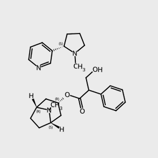 CN1CCC[C@H]1c1cccnc1.CN1[C@@H]2CC[C@H]1C[C@@H](OC(=O)C(CO)c1ccccc1)C2